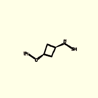 CC(C)O[C@H]1C[C@@H](NS)C1